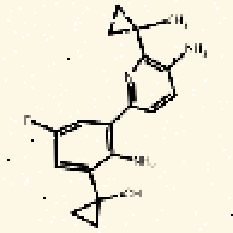 CC1(c2nc(-c3cc(F)cc(C4(O)CC4)c3N)ccc2N)CC1